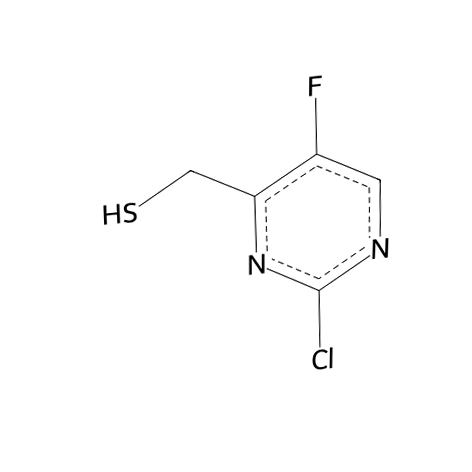 Fc1cnc(Cl)nc1CS